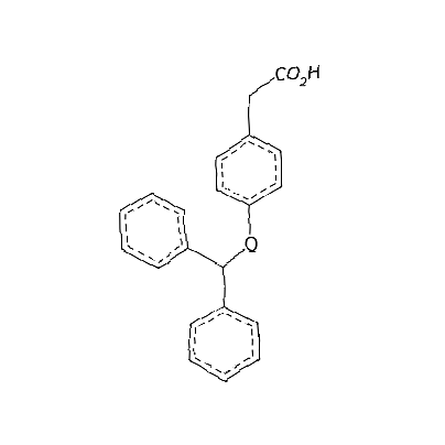 O=C(O)Cc1ccc(OC(c2ccccc2)c2ccccc2)cc1